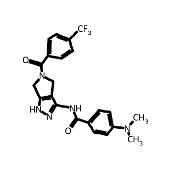 CN(C)c1ccc(C(=O)Nc2n[nH]c3c2CN(C(=O)c2ccc(C(F)(F)F)cc2)C3)cc1